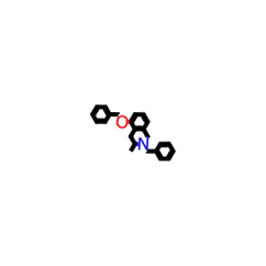 CC1Cc2c(cccc2OCc2ccccc2)CN1Cc1ccccc1